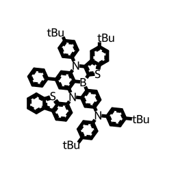 CC(C)(C)c1ccc(N(c2ccc(C(C)(C)C)cc2)c2ccc3c(c2)N(c2cccc4c2sc2ccccc24)c2cc(-c4ccccc4)cc4c2B3c2sc3ccc(C(C)(C)C)cc3c2N4c2ccc(C(C)(C)C)cc2)cc1